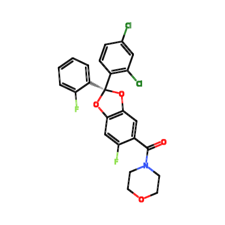 O=C(c1cc2c(cc1F)O[C@@](c1ccccc1F)(c1ccc(Cl)cc1Cl)O2)N1CCOCC1